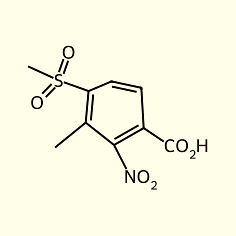 Cc1c(S(C)(=O)=O)ccc(C(=O)O)c1[N+](=O)[O-]